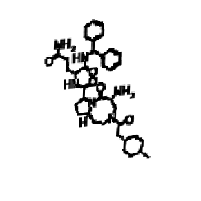 C[C@H]1CC[C@@H](CC(=O)N2CC[C@H]3CC[C@@H](C(=O)N[C@@H](CCC(N)=O)C(=O)NC(c4ccccc4)c4ccccc4)N3C(=O)[C@@H](N)C2)CC1